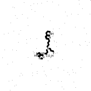 O=C(O)C(CCN(CCCF)CCCCc1ccc2c(n1)NCCC2)Nc1ncnc2[nH]ncc12